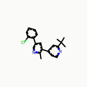 Cc1ncc(-c2cc[c]cc2Cl)cc1-c1ccnc(C(C)(C)C)c1